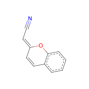 N#CC=C1C=Cc2ccccc2O1